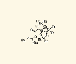 CC[Si](CC)(CC)O[Si](CC(=O)OC(CC(C)(C)C)C(C)(C)C)(O[Si](CC)(CC)CC)O[Si](CC)(CC)CC